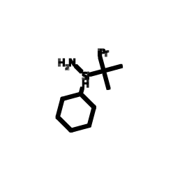 CC(C)C(C)(C)[SiH](N)C1CCCCC1